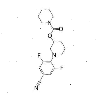 N#Cc1cc(F)c(N2CCCC(OC(=O)N3CCCCC3)C2)c(F)c1